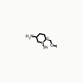 CC(C)N1CC(N)CC[C@H]1COI